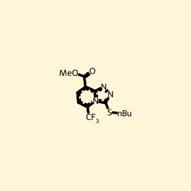 CCCCSc1nnc2c(C(=O)OC)ccc(C(F)(F)F)n12